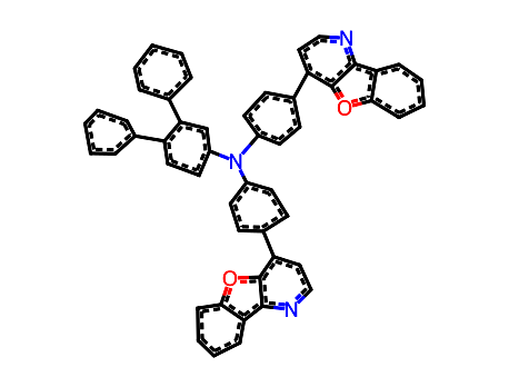 c1ccc(-c2ccc(N(c3ccc(-c4ccnc5c4oc4ccccc45)cc3)c3ccc(-c4ccnc5c4oc4ccccc45)cc3)cc2-c2ccccc2)cc1